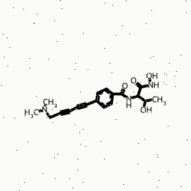 CC(O)C(NC(=O)c1ccc(C#CC#CCN(C)C)cc1)C(=O)NO